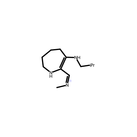 C/N=C\C1=C(NCC(C)C)CCCCN1